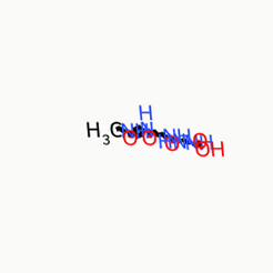 CCCNC(=O)c1ccc(NC(=O)CCCCNC(=O)CNCCNCC(=O)O)cc1